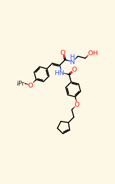 CC(C)Oc1ccc(/C=C(\NC(=O)c2ccc(OCCC3C=CCC3)cc2)C(=O)NCCO)cc1